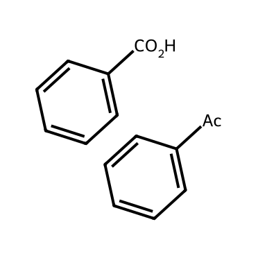 CC(=O)c1ccccc1.O=C(O)c1ccccc1